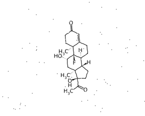 CC(=O)[C@@]1(O)CC[C@H]2[C@@H]3CCC4=CC(=O)CC[C@]4(C)[C@@]3(F)[C@@H](O)C[C@@]21C